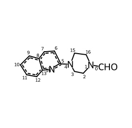 O=CN1CCN(c2ccc3ccccc3n2)CC1